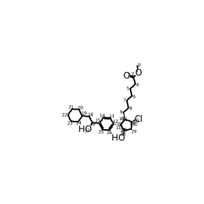 COC(=O)CCCCCC[C@@H]1[C@@H](c2ccc(C(O)CC3CCCCC3)cc2)[C@H](O)C[C@@H]1Cl